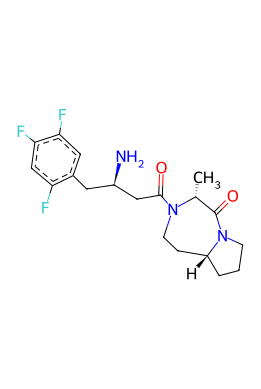 C[C@@H]1C(=O)N2CCC[C@@H]2CCN1C(=O)C[C@H](N)Cc1cc(F)c(F)cc1F